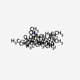 CC/C=C/CC[C@@H](O)C(C(=O)N[C@@H](CC)C(=O)N(N)CC(=O)N(C)[C@@H](CC(C)C)C(N)=O)N(C)C(=O)[C@H](C(C)C)N(C)C(=O)[C@H](CC(C)C)N(C)C(=O)CCC(C)C